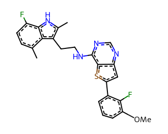 COc1cccc(-c2cc3ncnc(NCCc4c(C)[nH]c5c(F)ccc(C)c45)c3s2)c1F